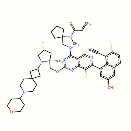 C#Cc1c(F)ccc2cc(O)cc(-c3ncc4c(NCC5(N(C)C(=O)C=C)CCCC5)nc(OC[C@]5(C)C[C@@H](F)CN5C5CC6(CCN(C7CCOCC7)CC6)C5)nc4c3F)c12